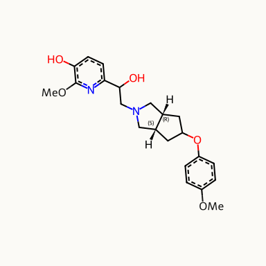 COc1ccc(OC2C[C@@H]3CN(CC(O)c4ccc(O)c(OC)n4)C[C@@H]3C2)cc1